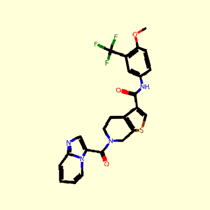 COc1ccc(NC(=O)c2csc3c2CCN(C(=O)c2cnc4ccccn24)C3)cc1C(F)(F)F